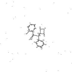 Cc1ccccc1C(=O)C(=C1SCS1)c1ccncc1